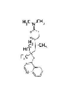 CN(C)c1ccc(C(C)(C)CC(O)(Cc2ccnc3ccccc23)C(F)(F)F)cc1